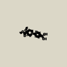 COC(=O)C1(OC)CCN(c2ncc(B(O)O)cn2)CC1